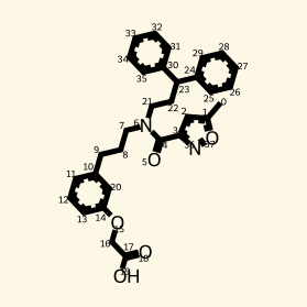 Cc1cc(C(=O)N(CCCc2cccc(OCC(=O)O)c2)CCC(c2ccccc2)c2ccccc2)no1